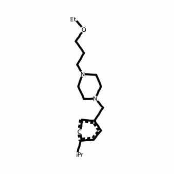 CCOCCCN1CCN(Cc2ccc(C(C)C)cc2)CC1